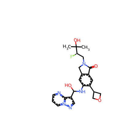 CC(C)(O)[C@H](F)CN1Cc2cc(NC(O)c3cnn4cccnc34)c(C3COC3)cc2C1=O